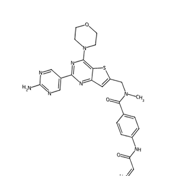 C=CC(=O)Nc1ccc(C(=O)N(C)Cc2cc3nc(-c4cnc(N)nc4)nc(N4CCOCC4)c3s2)cc1